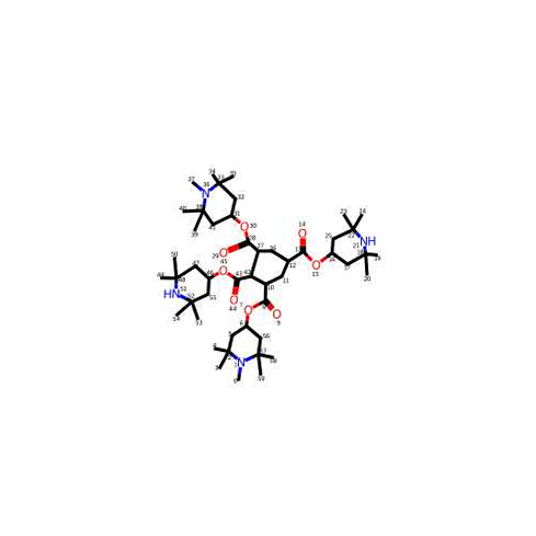 CN1C(C)(C)CC(OC(=O)C2CC(C(=O)OC3CC(C)(C)NC(C)(C)C3)CC(C(=O)OC3CC(C)(C)N(C)C(C)(C)C3)C2C(=O)OC2CC(C)(C)NC(C)(C)C2)CC1(C)C